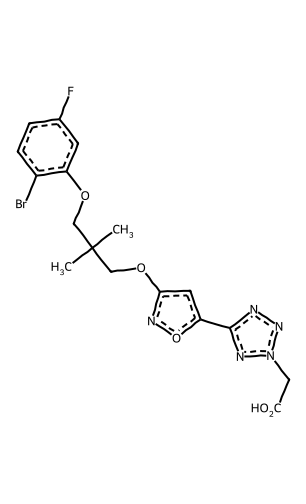 CC(C)(COc1cc(-c2nnn(CC(=O)O)n2)on1)COc1cc(F)ccc1Br